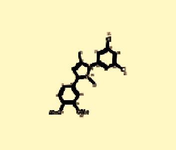 COc1ccc(C2C=C(C)N(c3cc(Cl)cc(Cl)c3)N2C)cc1OC